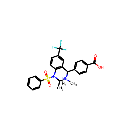 CNC(c1ccc(C(=O)O)cc1)c1cc(C(F)(F)F)ccc1N(C(C)C)S(=O)(=O)c1ccccc1